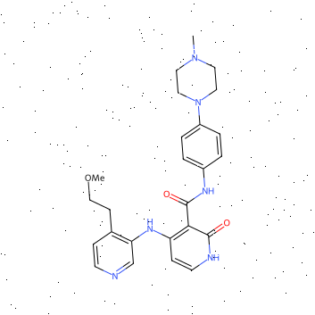 COCCc1ccncc1Nc1cc[nH]c(=O)c1C(=O)Nc1ccc(N2CCN(C)CC2)cc1